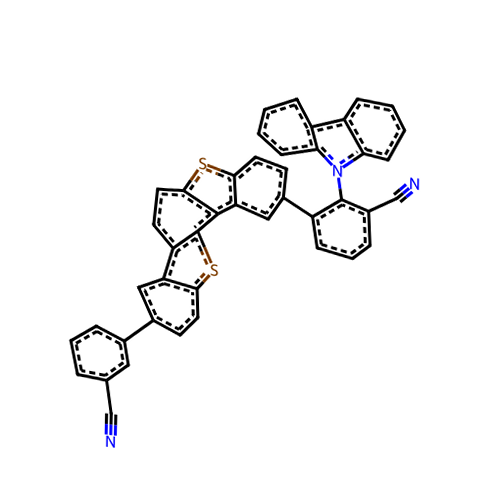 N#Cc1cccc(-c2ccc3sc4c(ccc5sc6ccc(-c7cccc(C#N)c7-n7c8ccccc8c8ccccc87)cc6c54)c3c2)c1